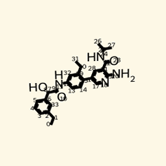 CCc1cccc(C(O)C(=O)Nc2ccc(-c3cnc(N)c(C(=O)NC(C)C)c3)c(CC)c2)c1